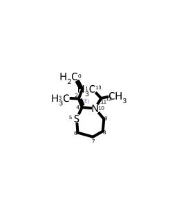 C=C/C(C)=C1/SCCCCN1C(C)C